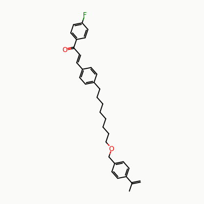 C=C(C)c1ccc(COCCCCCCCCc2ccc(C=CC(=O)c3ccc(F)cc3)cc2)cc1